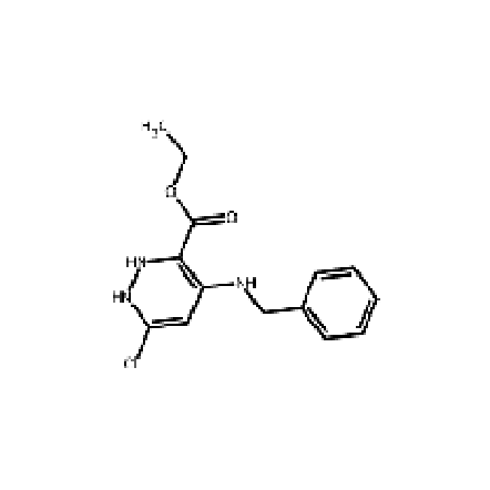 CCOC(=O)C1=C(NCc2ccccc2)C=C(Cl)NN1